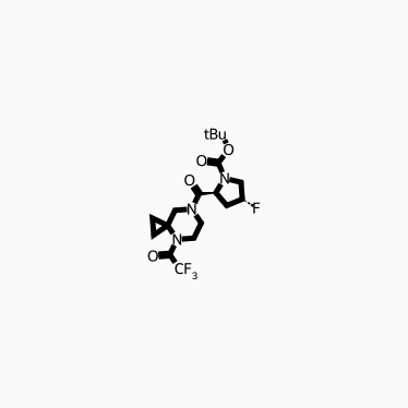 CC(C)(C)OC(=O)N1C[C@H](F)C[C@H]1C(=O)N1CCN(C(=O)C(F)(F)F)C2(CC2)C1